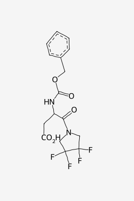 O=C(O)CC(NC(=O)OCc1ccccc1)C(=O)N1CC(F)(F)C(F)(F)C1